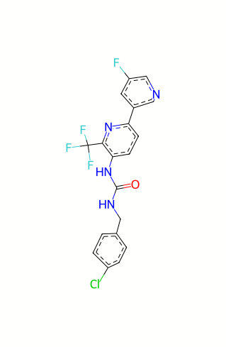 O=C(NCc1ccc(Cl)cc1)Nc1ccc(-c2cncc(F)c2)nc1C(F)(F)F